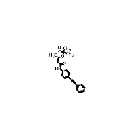 C[C@H](CC(=O)Nc1ccc(C#Cc2ccccc2)cc1)OC(C)(C)C